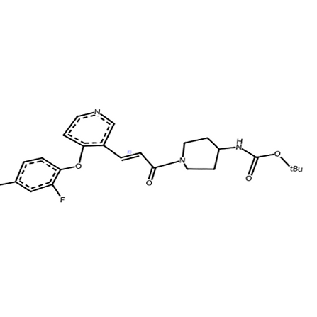 CC(C)(C)OC(=O)NC1CCN(C(=O)/C=C/c2cnccc2Oc2ccc(N)cc2F)CC1